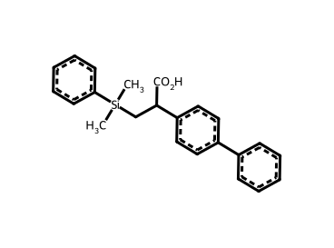 C[Si](C)(CC(C(=O)O)c1ccc(-c2ccccc2)cc1)c1ccccc1